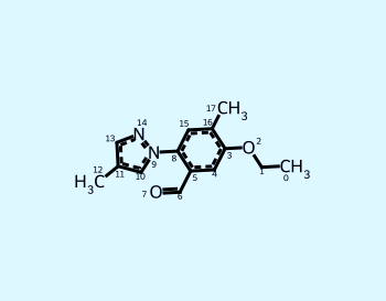 CCOc1cc(C=O)c(-n2cc(C)cn2)cc1C